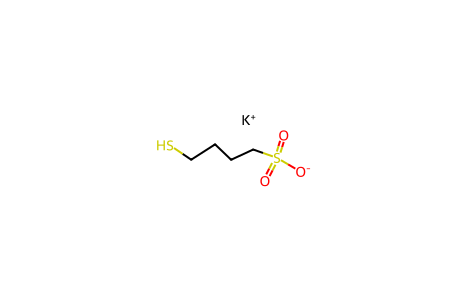 O=S(=O)([O-])CCCCS.[K+]